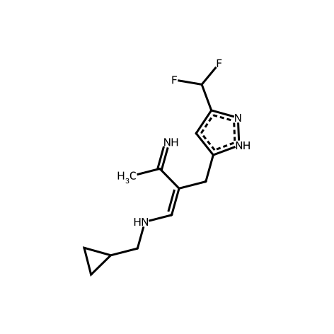 CC(=N)/C(=C\NCC1CC1)Cc1cc(C(F)F)n[nH]1